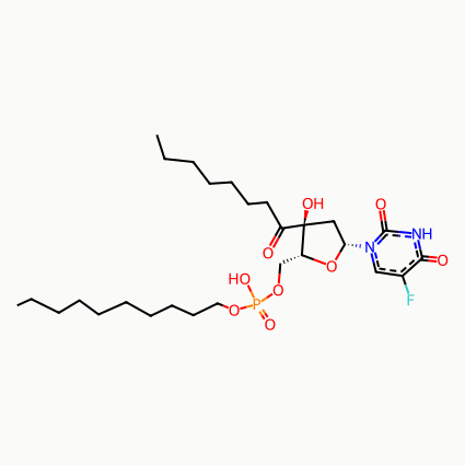 CCCCCCCCCCOP(=O)(O)OC[C@H]1O[C@@H](n2cc(F)c(=O)[nH]c2=O)C[C@@]1(O)C(=O)CCCCCCC